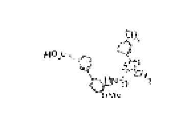 COc1ccc(-c2cccc(C=CC(=O)O)c2)cc1CNC(=O)c1sc(-c2ccc(C)cc2)nc1C